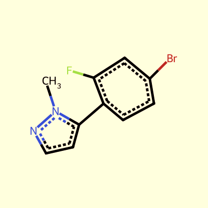 Cn1nccc1-c1ccc(Br)cc1F